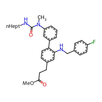 CCCCCCCNC(=O)N(C)c1cccc(-c2ccc(CCC(=O)OC)cc2NCc2ccc(F)cc2)c1